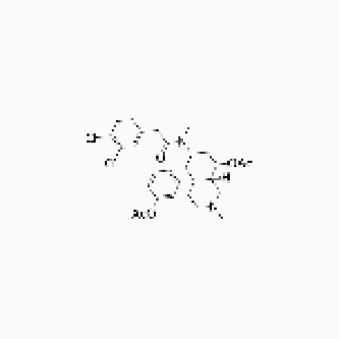 CC(=O)Oc1cccc([C@@]23CCN(C)C[C@H]2C(OC(C)=O)C[C@@H](N(C)C(=O)Cc2ccc(Cl)c(Cl)c2)C3)c1